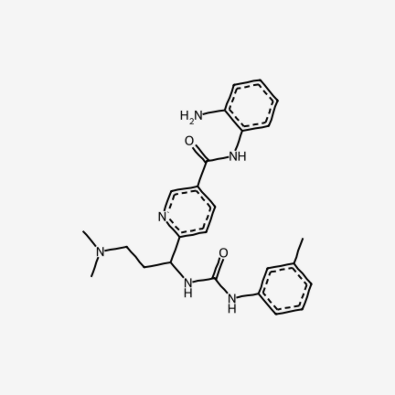 Cc1cccc(NC(=O)NC(CCN(C)C)c2ccc(C(=O)Nc3ccccc3N)cn2)c1